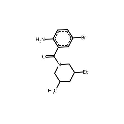 CCC1CC(C)CN(C(=O)c2cc(Br)ccc2N)C1